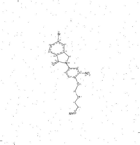 COCCOCOc1ccc(N2Cc3cc(Br)ccc3C2=O)cc1[N+](=O)[O-]